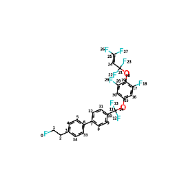 FCCc1ccc(-c2ccc(C(F)(F)Oc3cc(F)c(OC(F)(F)C=C(F)F)c(F)c3)cc2)cc1